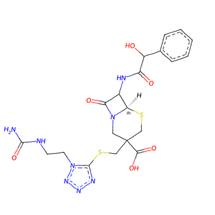 NC(=O)NCCn1nnnc1SCC1(C(=O)O)CS[C@@H]2C(NC(=O)C(O)c3ccccc3)C(=O)N2C1